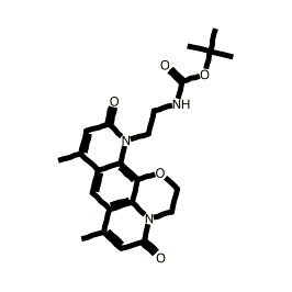 Cc1cc(=O)n(CCNC(=O)OC(C)(C)C)c2c3c4c(cc12)c(C)cc(=O)n4CCO3